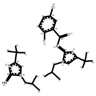 CC(C)Cn1cc(C(C)(C)C)s/c1=N\C(=O)c1cc(Cl)ccc1F.CC(C)Cn1cc(C(C)(C)C)sc1=N